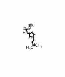 CN(C)CCN1CCC(NC(=O)OC(C)(C)C)C1